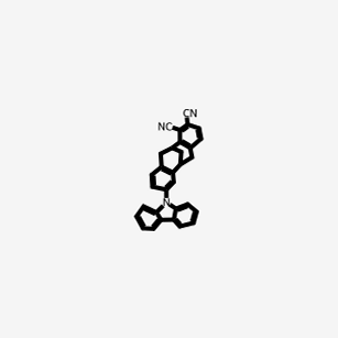 N#Cc1ccc2c(c1C#N)C1Cc3ccc(-n4c5ccccc5c5ccccc54)cc3C(C2)C1